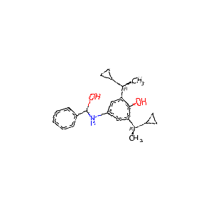 C[C@@H](c1cc(NC(O)c2ccccc2)cc([C@H](C)C2CC2)c1O)C1CC1